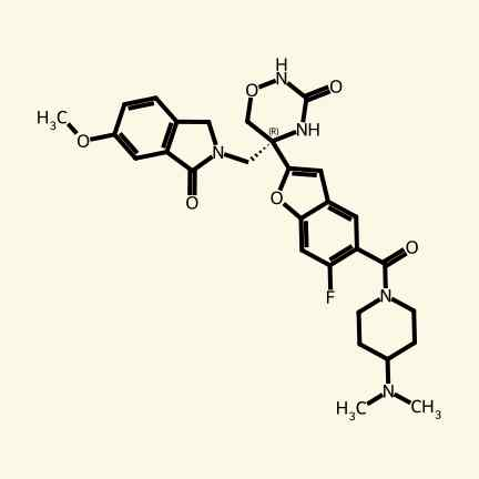 COc1ccc2c(c1)C(=O)N(C[C@]1(c3cc4cc(C(=O)N5CCC(N(C)C)CC5)c(F)cc4o3)CONC(=O)N1)C2